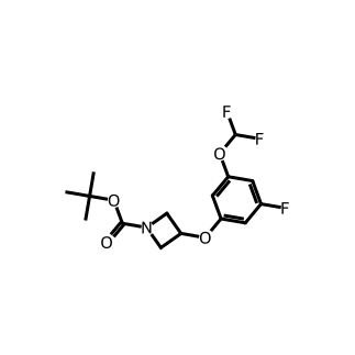 CC(C)(C)OC(=O)N1CC(Oc2cc(F)cc(OC(F)F)c2)C1